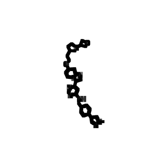 Cn1cc(-c2ccc(CNc3cc(-c4cnc5cc(OCCC6CCN(C7COC7)C6)ccn45)ncn3)cc2)cn1